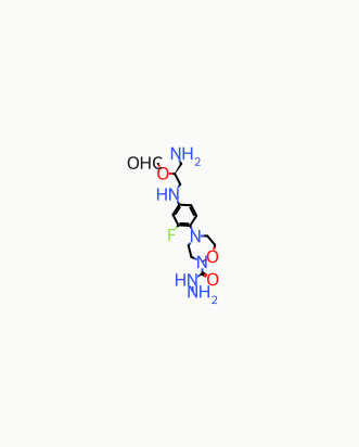 NC[C@@H](CNc1ccc(N2CCON(C(=O)NN)CC2)c(F)c1)OC=O